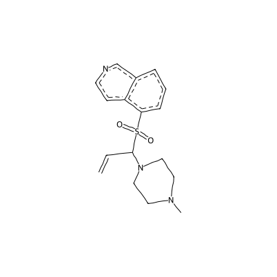 C=CC(N1CCN(C)CC1)S(=O)(=O)c1cccc2cnccc12